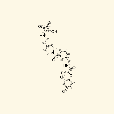 CC[C@@H](Oc1ncc(Cl)cc1Cl)C(=O)NCc1cccc(C(=O)N2CCN(CCNc3c(O)c(=O)c3=O)CC2)c1